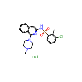 Cc1c(Cl)cccc1S(=O)(=O)Nc1cc2ccccc2c(N2CCN(C)CC2)n1.Cl